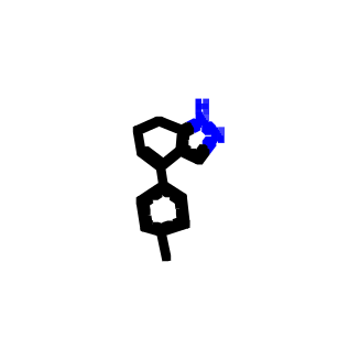 Cc1ccc(C2=CCCc3[nH]ncc32)cc1